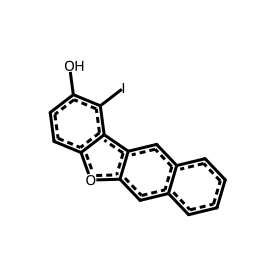 Oc1ccc2oc3cc4ccccc4cc3c2c1I